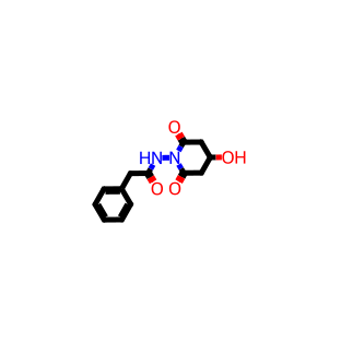 O=C(Cc1ccccc1)NN1C(=O)CC(O)CC1=O